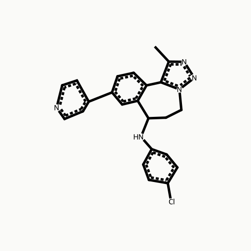 Cc1nnn2c1-c1ccc(-c3ccncc3)cc1C(Nc1ccc(Cl)cc1)CC2